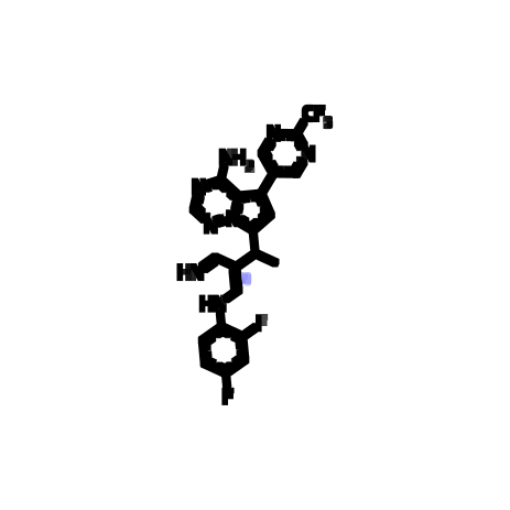 CC(/C(C=N)=C/Nc1ccc(F)cc1F)c1cc(-c2cnc(C(F)(F)F)nc2)c2c(N)ncnn12